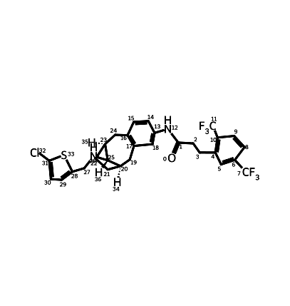 O=C(CCc1cc(C(F)(F)F)ccc1C(F)(F)F)Nc1ccc2c(c1)C[C@H]1CC[C@@H](C2)[C@H]1NCc1ccc(Cl)s1